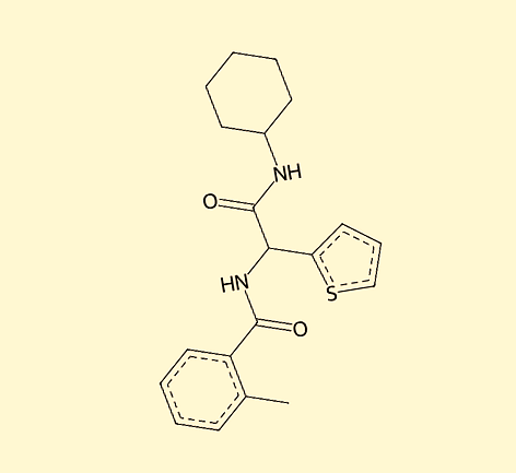 Cc1ccccc1C(=O)NC(C(=O)NC1CCCCC1)c1cccs1